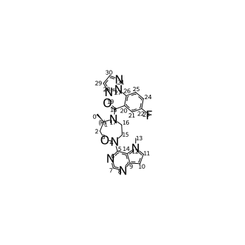 C[C@@H]1CON(c2ncnc3ccn(C)c23)CCN1C(=O)c1cc(F)ccc1-n1nccn1